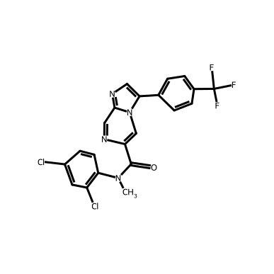 CN(C(=O)c1cn2c(-c3ccc(C(F)(F)F)cc3)cnc2cn1)c1ccc(Cl)cc1Cl